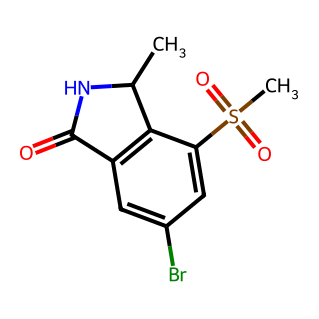 CC1NC(=O)c2cc(Br)cc(S(C)(=O)=O)c21